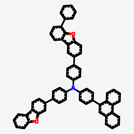 c1ccc(-c2cccc3c2oc2ccc(-c4ccc(N(c5ccc(-c6ccc7c(c6)oc6ccccc67)cc5)c5ccc(-c6cc7ccccc7c7ccccc67)cc5)cc4)cc23)cc1